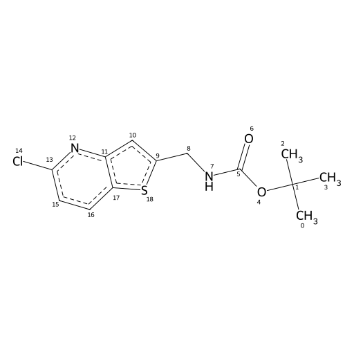 CC(C)(C)OC(=O)NCc1cc2nc(Cl)ccc2s1